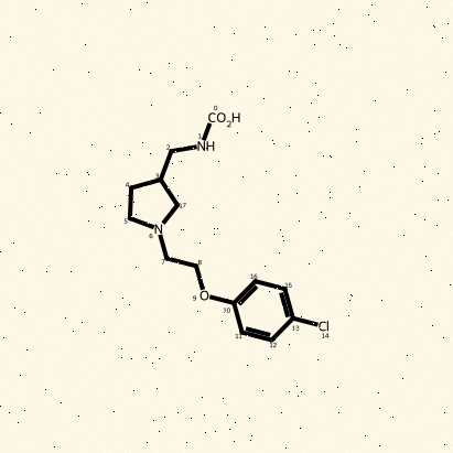 O=C(O)NCC1CCN(CCOc2ccc(Cl)cc2)C1